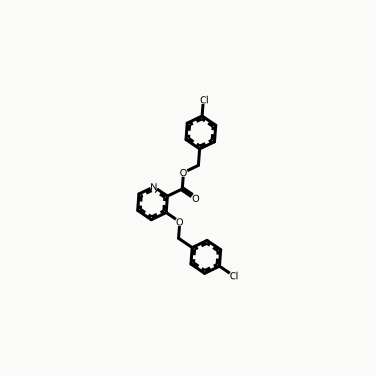 O=C(OCc1ccc(Cl)cc1)c1ncccc1OCc1ccc(Cl)cc1